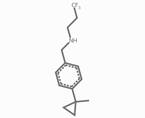 CC1(c2ccc(CNCCC(F)(F)F)cc2)CC1